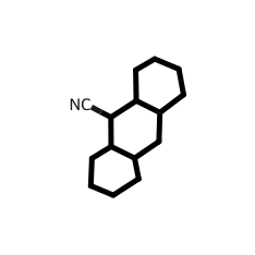 N#CC1C2CCCCC2CC2CCCCC21